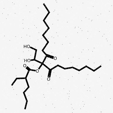 CCCCCCCC(=O)C(OC(=O)C(CC)CCCC)(C(=O)CCCCCCC)C(O)CO